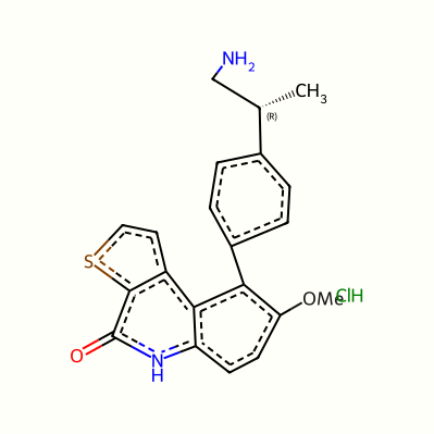 COc1ccc2[nH]c(=O)c3sccc3c2c1-c1ccc([C@@H](C)CN)cc1.Cl